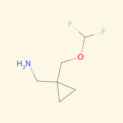 NCC1(COC(F)F)CC1